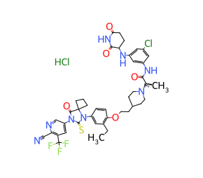 CCc1cc(N2C(=S)N(c3cnc(C#N)c(C(F)(F)F)c3)C(=O)C23CCC3)ccc1OCCC1CCN([C@H](C)C(=O)Nc2cc(Cl)cc(NC3CCC(=O)NC3=O)c2)CC1.Cl